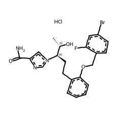 C[C@H](O)[C@@H](CCc1ccccc1OCc1ccc(Br)cc1F)n1cnc(C(N)=O)c1.Cl